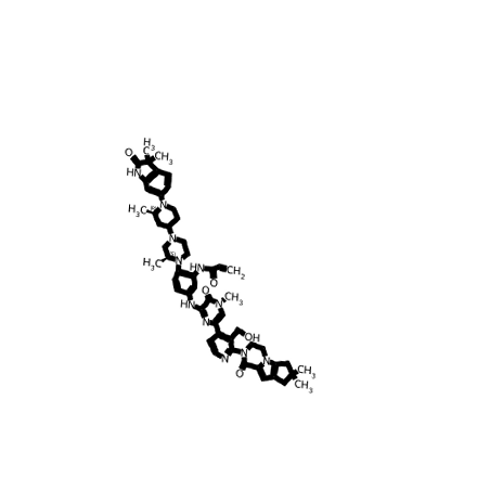 C=CC(=O)Nc1cc(Nc2nc(-c3ccnc(N4CCn5c(cc6c5CC(C)(C)C6)C4=O)c3CO)cn(C)c2=O)ccc1N1CCN(C2CCN(c3ccc4c(c3)NC(=O)C4(C)C)[C@H](C)C2)C[C@@H]1C